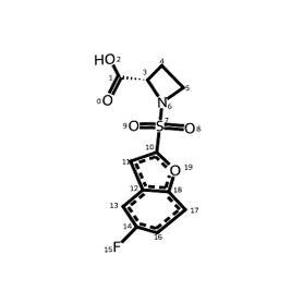 O=C(O)[C@@H]1CCN1S(=O)(=O)c1cc2cc(F)ccc2o1